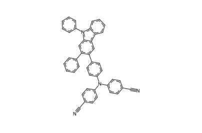 N#Cc1ccc(N(c2ccc(C#N)cc2)c2ccc(-c3cc4c5ccccc5n(-c5ccccc5)c4cc3-c3ccccc3)cc2)cc1